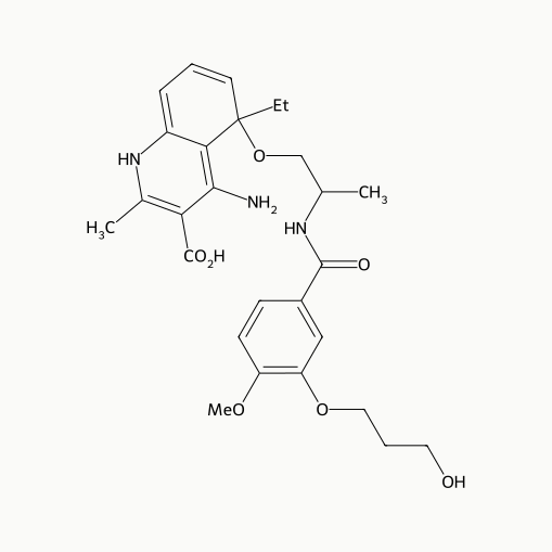 CCC1(OCC(C)NC(=O)c2ccc(OC)c(OCCCO)c2)C=CC=C2NC(C)=C(C(=O)O)C(N)=C21